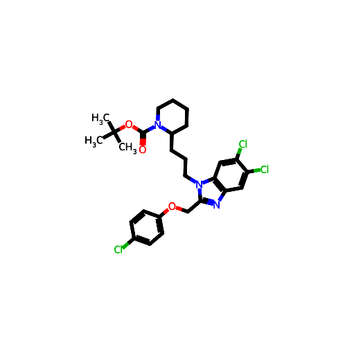 CC(C)(C)OC(=O)N1CCCCC1CCCn1c(COc2ccc(Cl)cc2)nc2cc(Cl)c(Cl)cc21